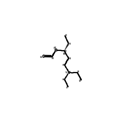 CC[C@H](CCN(CC)CC)OC=O